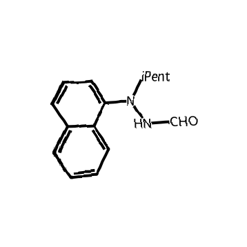 CCCC(C)N(NC=O)c1cccc2ccccc12